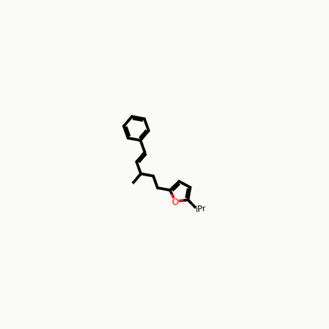 CC(/C=C/c1ccccc1)CCc1ccc(C(C)C)o1